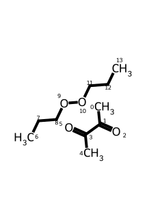 CC(=O)C(C)=O.CCCOOCCC